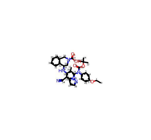 CCOc1ccc(N(C(=O)OC(C)(C)C)c2c(C)c(NC3CN(C(=O)O)Cc4ccccc43)c(C#N)c3ccnn23)cc1